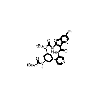 CC(C)c1cnc2c(C(=O)Nc3cnccc3[C@@H]3C[C@H](C)C[C@H](NC(=O)OC(C)(C)C)C3)c(NC(=O)OC(C)(C)C)oc2c1